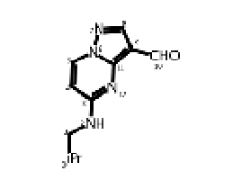 CC(C)CNc1ccn2ncc(C=O)c2n1